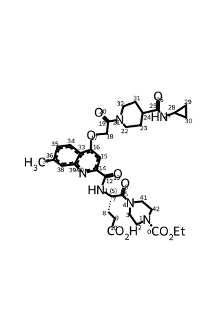 CCOC(=O)N1CCN(C(=O)[C@H](CCC(=O)O)NC(=O)c2cc(OCC(=O)N3CCC(C(=O)NC4CC4)CC3)c3ccc(C)cc3n2)CC1